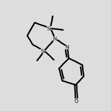 C[Si]1(C)CCC[Si](C)(C)N1N=C1C=CC(=O)C=C1